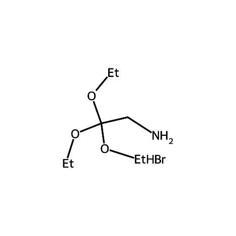 Br.CCOC(CN)(OCC)OCC